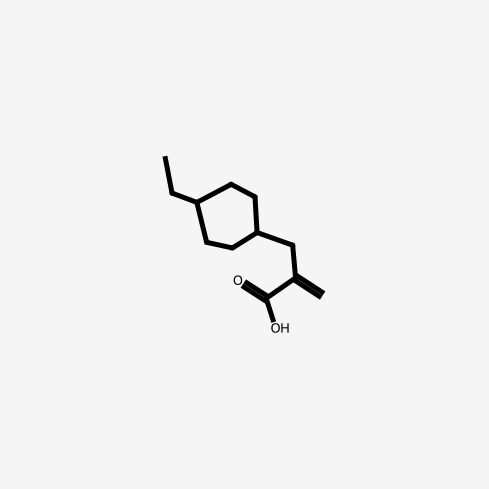 C=C(CC1CCC(CC)CC1)C(=O)O